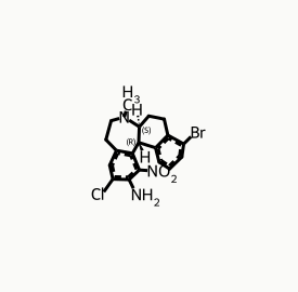 CN1CCc2cc(Cl)c(N)c([N+](=O)[O-])c2[C@H]2c3cccc(Br)c3CC[C@@H]21